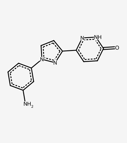 Nc1cccc(-n2ccc(-c3ccc(=O)[nH]n3)n2)c1